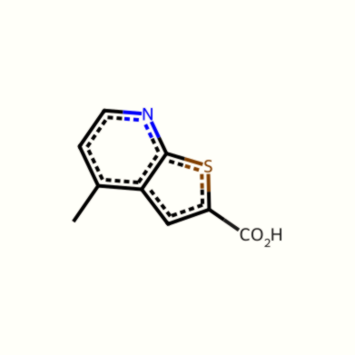 Cc1ccnc2sc(C(=O)O)cc12